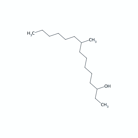 CCCCCCC(C)CCCCCC(O)CC